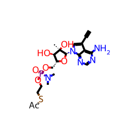 C#Cc1cn([C@@H]2O[C@H](COP(=O)(OCCSC(C)=O)N(C)C)[C@@H](O)[C@@]2(C)O)c2ncnc(N)c12